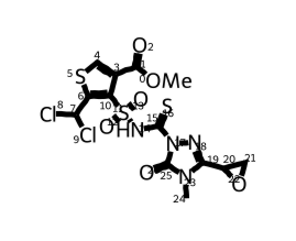 COC(=O)c1csc(C(Cl)Cl)c1S(=O)(=O)NC(=S)n1nc(C2CO2)n(C)c1=O